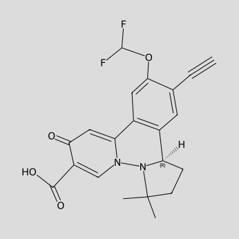 C#Cc1cc2c(cc1OC(F)F)-c1cc(=O)c(C(=O)O)cn1N1[C@@H]2CCC1(C)C